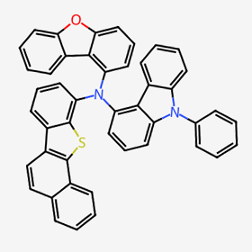 c1ccc(-n2c3ccccc3c3c(N(c4cccc5c4sc4c6ccccc6ccc54)c4cccc5oc6ccccc6c45)cccc32)cc1